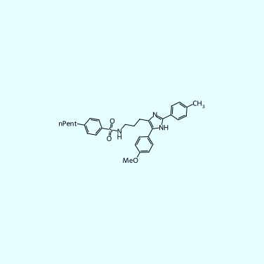 CCCCCc1ccc(S(=O)(=O)NCCCc2nc(-c3ccc(C)cc3)[nH]c2-c2ccc(OC)cc2)cc1